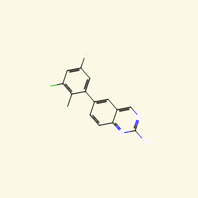 Cc1c(Cl)cc([N+](=O)[O-])cc1-c1ccc2nc(N)ncc2c1